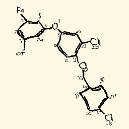 Fc1cc(F)cc(Oc2ccc(OCc3ccc(Cl)cc3)c(Cl)c2)c1